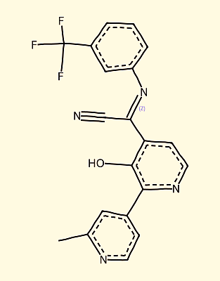 Cc1cc(-c2nccc(/C(C#N)=N/c3cccc(C(F)(F)F)c3)c2O)ccn1